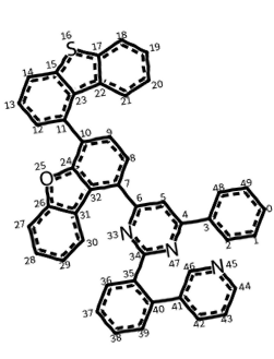 c1ccc(-c2cc(-c3ccc(-c4cccc5sc6ccccc6c45)c4oc5ccccc5c34)nc(-c3ccccc3-c3cccnc3)n2)cc1